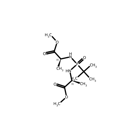 COC(=O)[C@H](C)NP(=O)(N[C@@H](C)C(=O)OC)C(C)(C)C